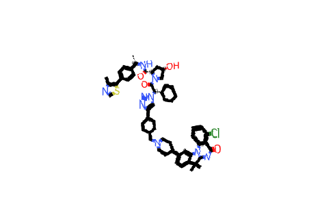 Cc1ncsc1-c1ccc([C@H](C)NC(=O)[C@@H]2C[C@@H](O)CN2C(=O)[C@H](C2CCCCC2)n2cc(C3CCC(CN4CCC(c5ccc6c(c5)-n5c(nc(=O)c7c(Cl)cccc75)C6(C)C)CC4)CC3)nn2)cc1